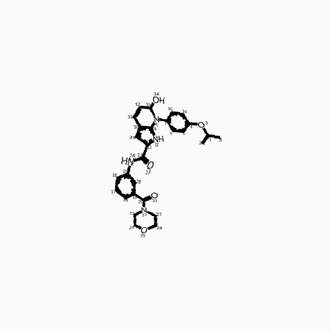 CC(C)Oc1ccc(N2c3[nH]c(C(=O)Nc4cccc(C(=O)N5CCOCC5)c4)cc3C=CC2O)cc1